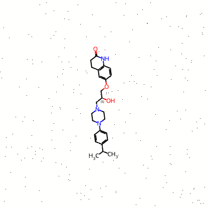 CC(C)c1ccc(N2CCN(C[C@H](O)COc3ccc4c(c3)CCC(=O)N4)CC2)cc1